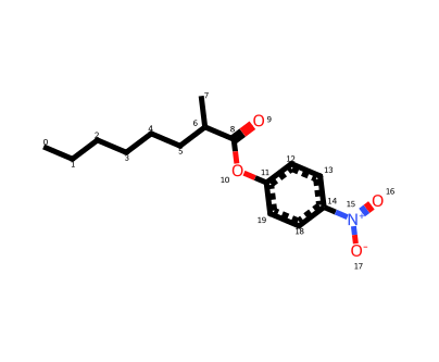 CCCCCCC(C)C(=O)Oc1ccc([N+](=O)[O-])cc1